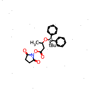 CC(CC(=O)ON1C(=O)CCC1=O)O[Si](c1ccccc1)(c1ccccc1)C(C)(C)C